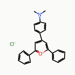 CN(C)c1ccc(-c2cc(-c3ccccc3)[o+]c(-c3ccccc3)c2)cc1.[Cl-]